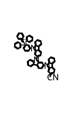 N#Cc1ccc2c3ccccc3n(-c3ccc4c5ccccc5n(-c5ccc6c7ccccc7n(-c7cccc([Si](c8ccccc8)(c8ccccc8)c8ccccc8)c7)c6c5)c4c3)c2c1